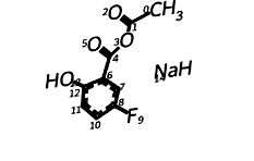 CC(=O)OC(=O)c1cc(F)ccc1O.[NaH]